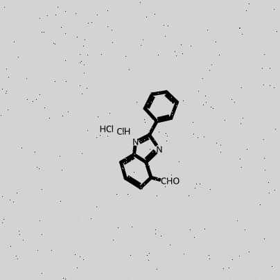 Cl.Cl.O=CC1C=CC=C2N=C(c3ccccc3)N=C21